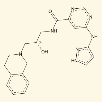 O=C(NC[C@H](O)CN1CCc2ccccc2C1)c1cc(Nc2cc[nH]n2)ncn1